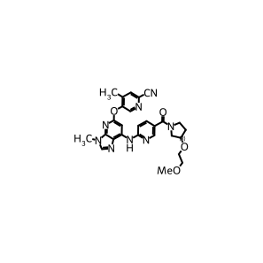 COCCO[C@@H]1CCN(C(=O)c2ccc(Nc3cc(Oc4cnc(C#N)cc4C)nc4c3ncn4C)nc2)C1